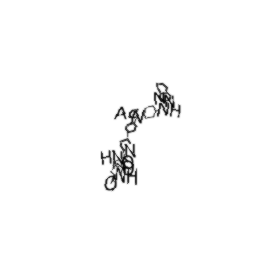 CC(=O)N(c1ccc(-c2ccc(C(=O)N[C@H]3CCC(=O)NC3=O)nc2)cc1)C1CCC(Nc2ncc3ccccc3n2)CC1